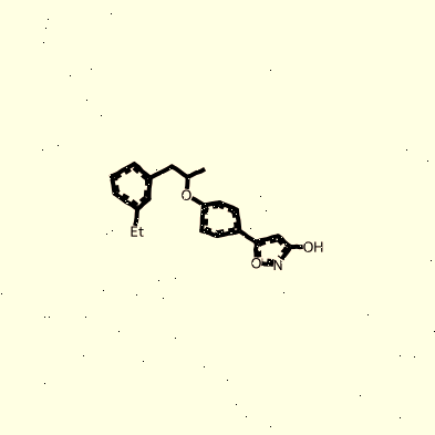 CCc1cccc(CC(C)Oc2ccc(-c3cc(O)no3)cc2)c1